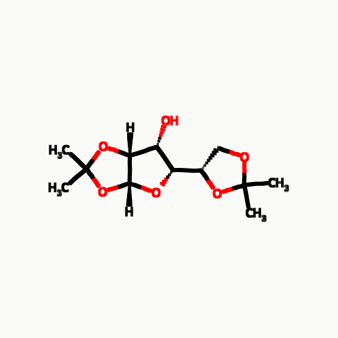 CC1(C)O[C@H]2O[C@@H]([C@@H]3COC(C)(C)O3)[C@@H](O)[C@H]2O1